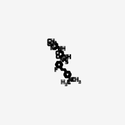 COc1ncc(NC(=O)CC2NC(=S)N(c3ccc(F)c(CCc4ccc(N(C)C)cc4)c3)C2=O)cn1